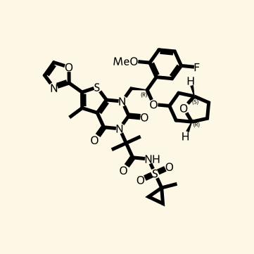 COc1ccc(F)cc1[C@H](Cn1c(=O)n(C(C)(C)C(=O)NS(=O)(=O)C2(C)CC2)c(=O)c2c(C)c(-c3ncco3)sc21)OC1C[C@H]2CC[C@@H](C1)O2